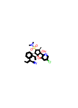 C=C(/C=C\C(C#N)=C/C)[C@@]12Oc3cc(Cl)cnc3[C@]1(O)[C@H](C)[C@H](S(=O)(=O)N(C)C)[C@H]2c1ccccc1